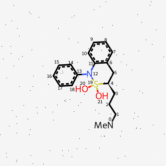 CNCCC[C@@H]1Cc2ccccc2N(c2ccccc2)S1(O)O